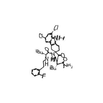 CCC(C)[C@H](NCCc1ccccc1F)C(=O)N[C@]1(C(=O)NC(C(N)=O)[C@@H](C)CC)CCc2[nH]c3c(Cl)cc(Cl)cc3c2C1